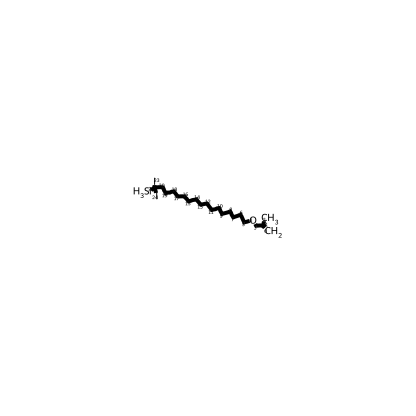 C=C(C)COCCCCCCCCCCCCCCCCC([SiH3])(I)I